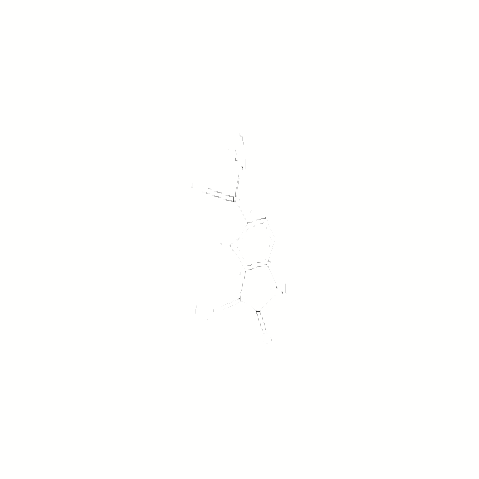 C=C1C(=O)Nc2ccc(C(=O)NC(C)C)cc21